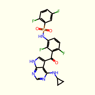 O=C(c1c(F)ccc(NS(=O)(=O)c2cc(F)ccc2F)c1F)c1c[nH]c2ncnc(NC3CC3)c12